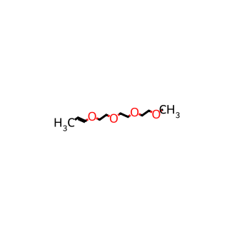 CC=COCCOCCOCCOC